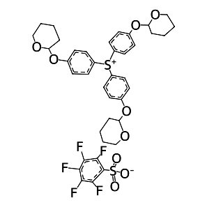 O=S(=O)([O-])c1c(F)c(F)c(F)c(F)c1F.c1cc([S+](c2ccc(OC3CCCCO3)cc2)c2ccc(OC3CCCCO3)cc2)ccc1OC1CCCCO1